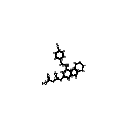 O=C(O)C[S+]([O-])Cc1nc(NCc2ccc(Cl)cc2)c2c3c(sc2n1)CCCC3